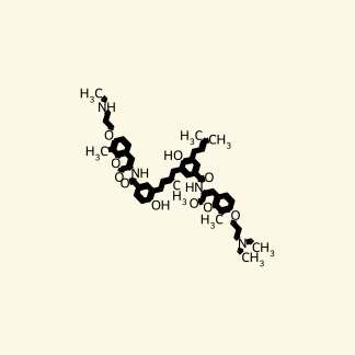 CCNCCCOc1ccc2cc(NC(=O)c3ccc(O)c(C/C=C(\C)Cc4cc(C(=O)Nc5cc6ccc(OCCCN(CC)CC)c(C)c6oc5=O)cc(CC=C(C)C)c4O)c3)c(=O)oc2c1C